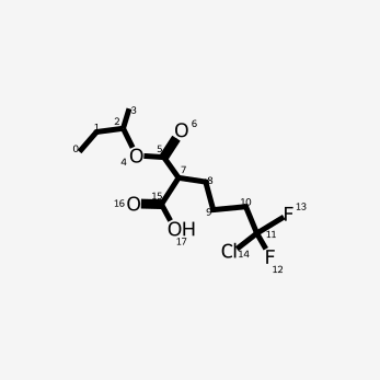 CCC(C)OC(=O)C(CCCC(F)(F)Cl)C(=O)O